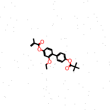 C=C(C)C(=O)Oc1ccc(-c2ccc(OC(=O)C(C)(C)C)cc2)c(OCC)c1